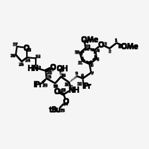 COCCOc1cc(CC(C[C@H](NC(=O)OC(C)(C)C)[C@@H](O)C[C@H](C(=O)NCC2CCCO2)C(C)C)C(C)C)ccc1OC